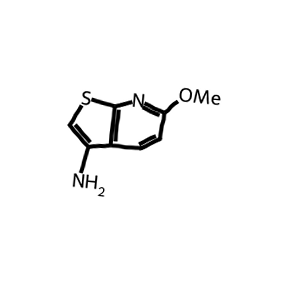 COc1ccc2c(N)csc2n1